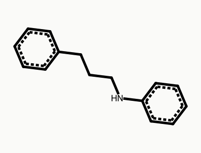 c1ccc(CCCNc2ccccc2)cc1